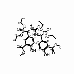 CCOP(=O)(OCC)C(NC(=O)NC(c1ccc(O)c(C(=O)OC)c1)P(=O)(OCC)OCC)c1ccc(O)c(C(=O)OC)c1